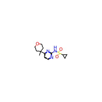 CC1(c2ccnc(NS(=O)(=O)C3CC3)n2)CCOCC1